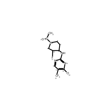 C[S+]([O-])N1CCC(Nc2ncc(C(F)(F)F)c(Cl)n2)C(F)C1